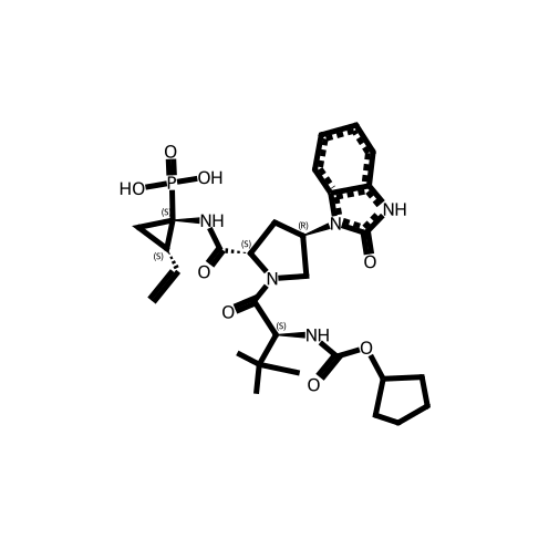 C=C[C@@H]1C[C@]1(NC(=O)[C@@H]1C[C@@H](n2c(=O)[nH]c3ccccc32)CN1C(=O)[C@@H](NC(=O)OC1CCCC1)C(C)(C)C)P(=O)(O)O